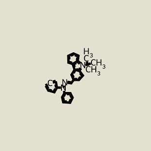 CC(C)(C)n1c2ccccc2c2cc(C=NN(c3ccccc3)c3ccccc3)ccc21